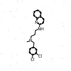 CN(CCCNc1ccc2ccccc2n1)Cc1ccc(Cl)c(Cl)c1